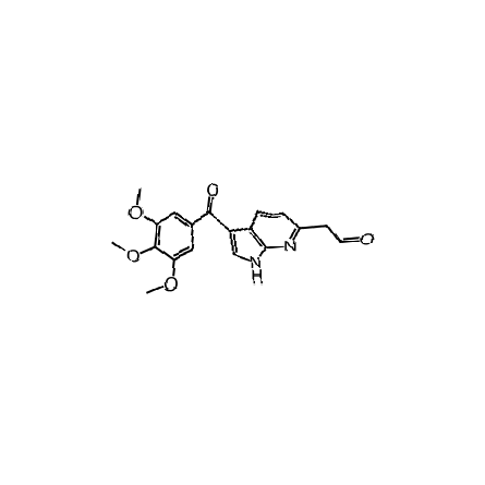 COc1cc(C(=O)c2c[nH]c3nc(CC=O)ccc23)cc(OC)c1OC